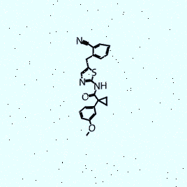 COc1cccc(C2(C(=O)Nc3ncc(Cc4ccccc4C#N)s3)CC2)c1